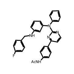 CC(=O)Nc1ccc(-c2ccnc(N(c3ccccc3)c3cccc(NCc4ccc(F)cc4)c3)n2)cc1